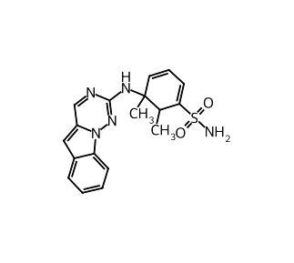 CC1C(S(N)(=O)=O)=CC=CC1(C)Nc1ncc2cc3ccccc3n2n1